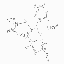 CN(C)CCC(Cc1cc(F)ccc1C(=O)O)c1ccccc1.Cl